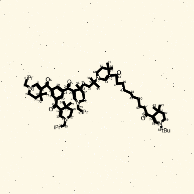 CC(C)CN1C=C(C(=O)c2cc(C(=O)C3=CN(CC(C)C)CCC3(C)C)cc(C(=O)C3=CN(CC(C)C)CCC3(C)CCC(C)(C)N3C=C(C(=O)CCCCCCCCC(=O)C4=CN(C(C)(C)C)CCC4(C)C)C(C)(C)CC3)c2)C(C)(C)CC1